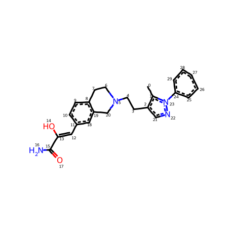 Cc1c(CCN2CCc3ccc(C=C(O)C(N)=O)cc3C2)cnn1-c1ccccc1